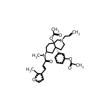 C=CCN1CC[C@@]2(c3cccc(OC(C)=O)c3)C[C@@H](N(C)C(=O)/C=C/c3ccoc3C)CC[C@]2(OC(C)=O)C1